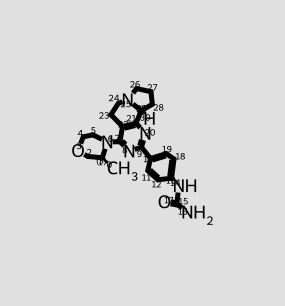 C[C@H]1COCCN1c1nc(-c2ccc(NC(N)=O)cc2)nc2c1CCN1CCC[C@@H]21